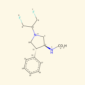 O=C(O)N[C@@H]1CN(C(CF)CF)C[C@H]1c1ccccc1